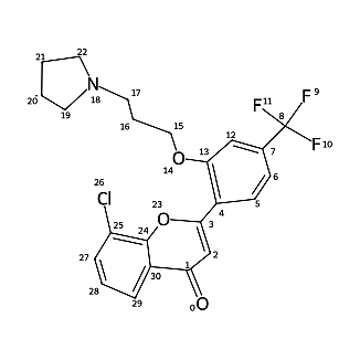 O=c1cc(-c2ccc(C(F)(F)F)cc2OCCCN2C[CH]CC2)oc2c(Cl)cccc12